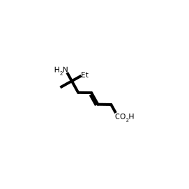 CCC(C)(N)C/C=C/CC(=O)O